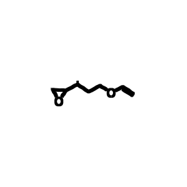 C=COCC[CH]C1CO1